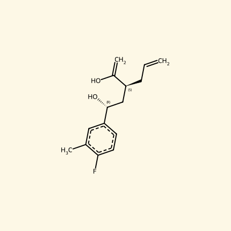 C=CC[C@@H](C[C@@H](O)c1ccc(F)c(C)c1)C(=C)O